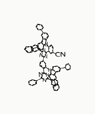 N#Cc1ccc(-n2c3ccc(-c4ccccc4)cc3c3cc(-c4ccccc4)ccc32)c(-c2nc(-c3ccccc3)nc(-c3ccc(-c4nc(-c5ccccc5)nc(-c5ccccc5)n4)c(-n4c5ccc(-c6ccccc6)cc5c5cc(-c6ccccc6)ccc54)c3)n2)c1